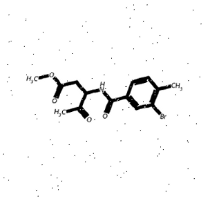 COC(=O)CC(NC(=O)c1ccc(C)c(Br)c1)C(C)=O